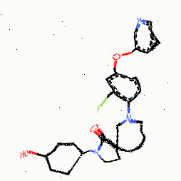 O=C1N(C2CCC(O)CC2)CCC12CCCN(c1ccc(Oc3cccnc3)cc1F)C2